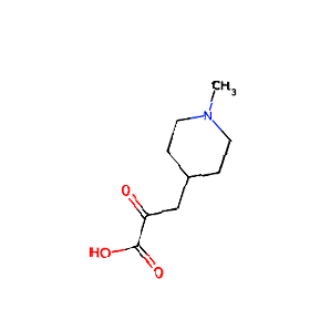 CN1CCC(CC(=O)C(=O)O)CC1